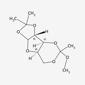 COC1(C)OC[C@H]2OC3OC(C)(C)O[C@@H]3[C@H]2O1